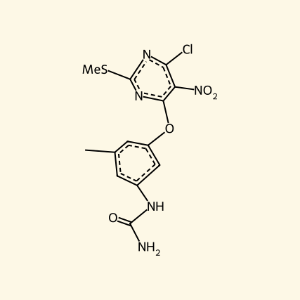 CSc1nc(Cl)c([N+](=O)[O-])c(Oc2cc(C)cc(NC(N)=O)c2)n1